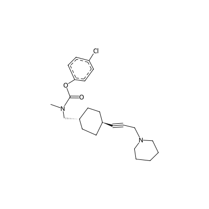 CN(C[C@H]1CC[C@H](C#CCN2CCCCC2)CC1)C(=O)Oc1ccc(Cl)cc1